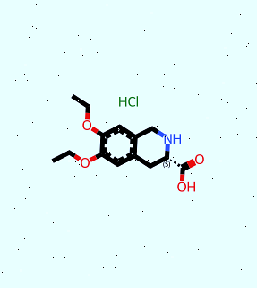 CCOc1cc2c(cc1OCC)C[C@@H](C(=O)O)NC2.Cl